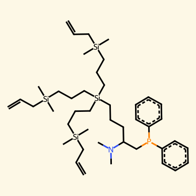 C=CC[Si](C)(C)CCC[Si](CCCC(CP(c1ccccc1)c1ccccc1)N(C)C)(CCC[Si](C)(C)CC=C)CCC[Si](C)(C)CC=C